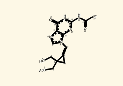 CC(=O)OCC1(CO)CC1=Cn1cnc2c(=O)[nH]c(NC(=O)C(C)C)nc21